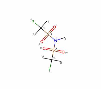 CN(S(=O)(=O)C(C)(C)F)S(=O)(=O)C(C)(C)F